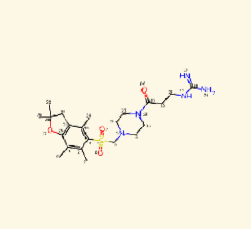 Cc1c(C)c(S(=O)(=O)CN2CCN(C(=O)CCNC(=N)N)CC2)c(C)c2c1OC(C)(C)C2